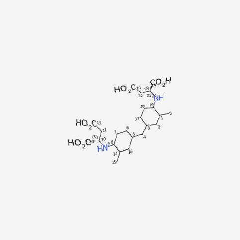 CC1CC(CC2CCC(N[C@@H](CC(=O)O)C(=O)O)C(C)C2)CCC1N[C@@H](CC(=O)O)C(=O)O